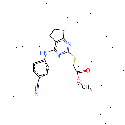 COC(=O)CSc1nc2c(c(Nc3ccc(C#N)cc3)n1)CCC2